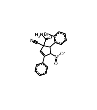 N#CC1(C(N)=O)C=C(c2ccccc2)C([N+](=O)[O-])C1c1ccccc1Br